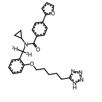 [2H]C([2H])(c1ccccc1OCCCCCc1nnn[nH]1)N(C(=O)c1ccc(-c2ccco2)cc1)C1CC1